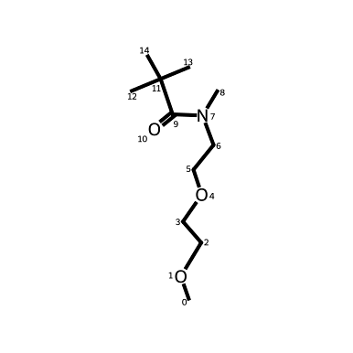 COCCOCCN(C)C(=O)C(C)(C)C